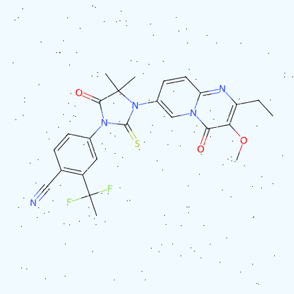 CCc1nc2ccc(N3C(=S)N(c4ccc(C#N)c(C(C)(F)F)c4)C(=O)C3(C)C)cn2c(=O)c1OC